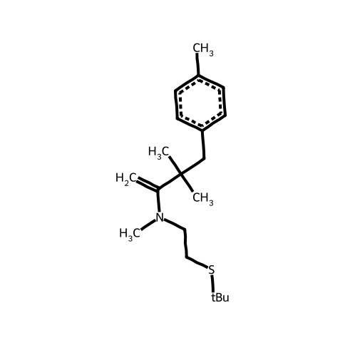 C=C(N(C)CCSC(C)(C)C)C(C)(C)Cc1ccc(C)cc1